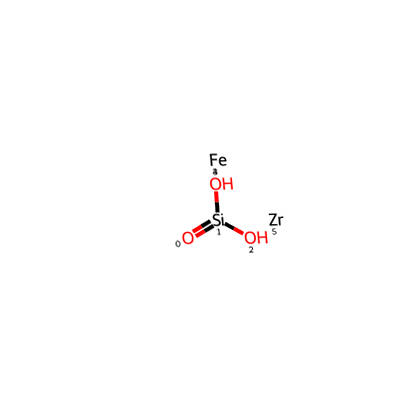 O=[Si](O)O.[Fe].[Zr]